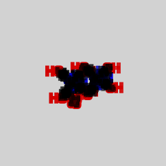 O=S(=O)([O-])[O-].Oc1ccc(NC[P+](CNc2ccc(O)cc2)(CNc2ccc(O)cc2)CNc2ccc(O)cc2)cc1.Oc1ccc(NC[P+](CNc2ccc(O)cc2)(CNc2ccc(O)cc2)CNc2ccc(O)cc2)cc1